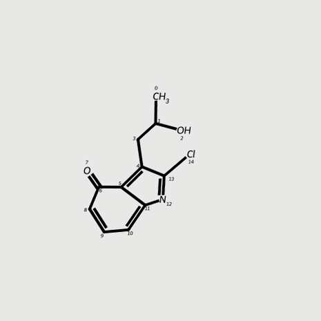 CC(O)CC1=C2C(=O)C=CC=C2N=C1Cl